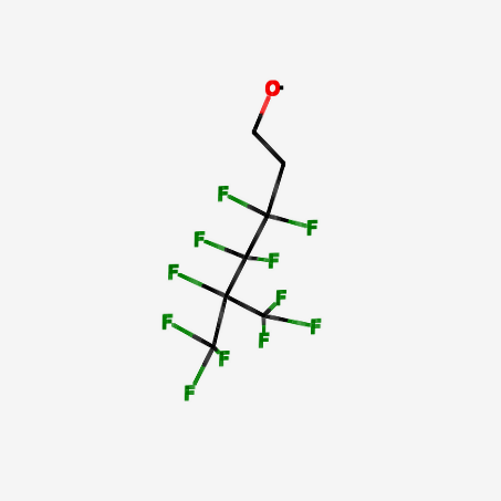 [O]CCC(F)(F)C(F)(F)C(F)(C(F)(F)F)C(F)(F)F